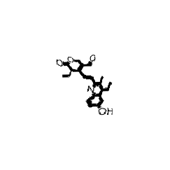 CCc1c(C)c(/C=C/C2=C(C=O)COC(=O)[C@@H]2CC)nc2ccc(O)cc12